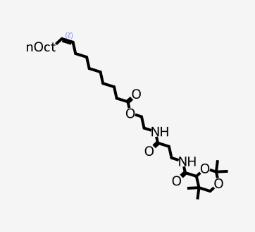 CCCCCCCC/C=C\CCCCCCCC(=O)OCCNC(=O)CCNC(=O)C1OC(C)(C)OCC1(C)C